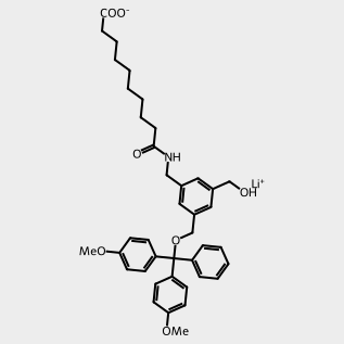 COc1ccc(C(OCc2cc(CO)cc(CNC(=O)CCCCCCCCC(=O)[O-])c2)(c2ccccc2)c2ccc(OC)cc2)cc1.[Li+]